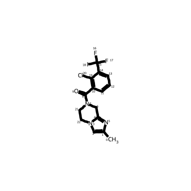 Cc1cn2c(n1)CN(C(=O)c1cccc(C(F)(F)I)c1Cl)CC2